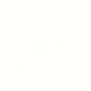 C=C/C=N\OCN/C(S)=C(\C)C#N